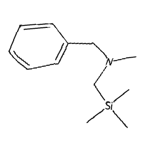 CN(Cc1ccccc1)C[Si](C)(C)C